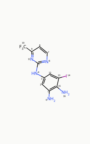 Nc1cc(Nc2nccc(C(F)(F)F)n2)cc(I)c1N